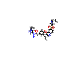 Cc1cc(CC(=O)Nc2cnn(C(C)(C)C)c2)ccc1Oc1ccnc2ccc(S(=O)(=O)C3CN(C)C3)cc12